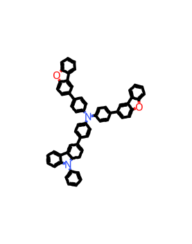 C1=C(c2ccc(N(c3ccc(-c4ccc5oc6ccccc6c5c4)cc3)c3ccc(-c4ccc5oc6ccccc6c5c4)cc3)cc2)C=C2c3ccccc3N(c3ccccc3)C2C1